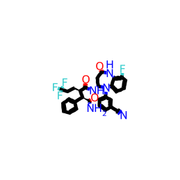 N#Cc1cccc(N2c3cccc(F)c3NC(=O)CC2NC(=O)[C@H](CCC(F)(F)F)[C@@H](C(N)=O)c2ccccc2)c1